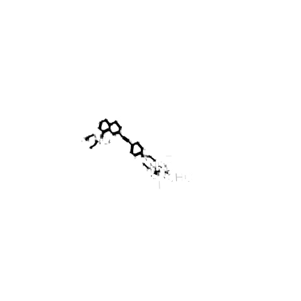 C[C@H](C=O)NS(=O)(=O)N1CCN(c2ccc(C#Cc3ccc4cccc(C(=O)N5CCOCC5)c4c3)cc2)CC1